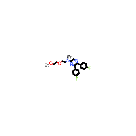 CCOCCOCCN(c1cnc(-c2ccc(F)cc2)c(-c2ccc(F)cc2)n1)C(C)C